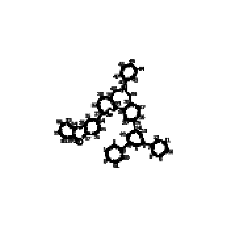 c1ccc(-c2cc(-c3ccccc3)cc(-c3ccc4c(c3)-c3cc(-c5ccc6oc7ccccc7c6c5)ccc3CN(c3ccccc3)C4)c2)cc1